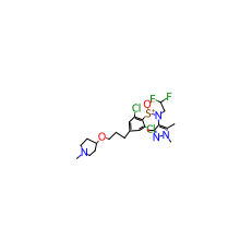 Cc1nn(C)c(C)c1N(CC(F)F)[S+]([O-])c1c(Cl)cc(CCCOC2CCN(C)CC2)cc1Cl